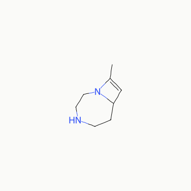 CC1=CC2CCNCCN12